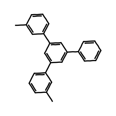 Cc1cccc(-c2cc(-c3ccccc3)cc(-c3cccc(C)c3)c2)c1